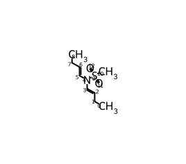 CCC=CN(C=CCC)S(C)(=O)=O